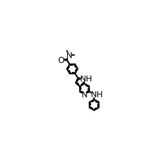 CN(C)C(=O)c1ccc(-c2cc3cnc(Nc4ccccc4)cc3[nH]2)cc1